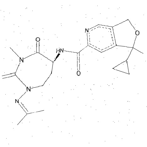 C=C1N(N=C(C)C)CC[C@H](NC(=O)c2cc3c(cn2)COC3(C)C2CC2)C(=O)N1C